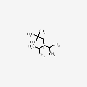 CC(C)[SiH](CC(C)(C)C)C(C)C